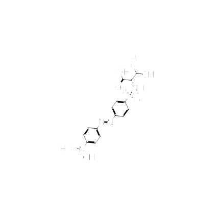 CC(C)[C@H](NS(=O)(=O)c1ccc(N=Nc2ccc(N(C)C)cc2)cc1)C(=O)O